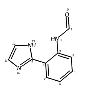 O=CNc1ccccc1-c1ncc[nH]1